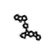 c1ccc2c(c1)oc1cc3c(cc12)c1ccccc1n3-c1ccc(-c2cccc3c2oc2ccccc23)cc1